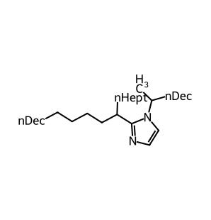 CCCCCCCCCCCCCCC(CCCCCCC)c1nccn1C(C)CCCCCCCCCC